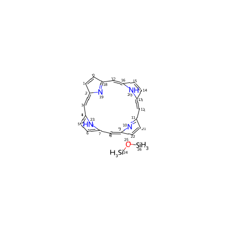 C1=Cc2cc3ccc(cc4nc(cc5ccc(cc1n2)[nH]5)C=C4)[nH]3.[SiH3]O[SiH3]